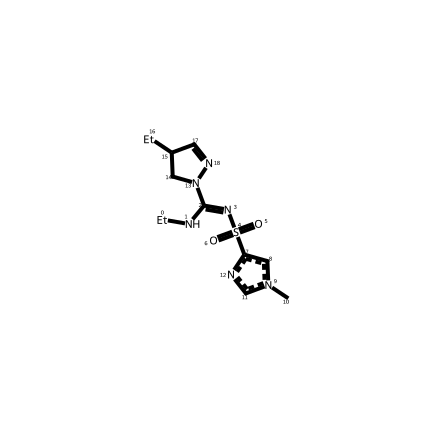 CCN/C(=N\S(=O)(=O)c1cn(C)cn1)N1CC(CC)C=N1